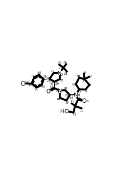 CC1(C)CCC(N(C(=O)C(C)(C)CO)[C@H]2CCN(C(=O)[C@@H]3CN(C(C)(C)C)C[C@H]3c3ccc(Cl)cc3)C2)CC1